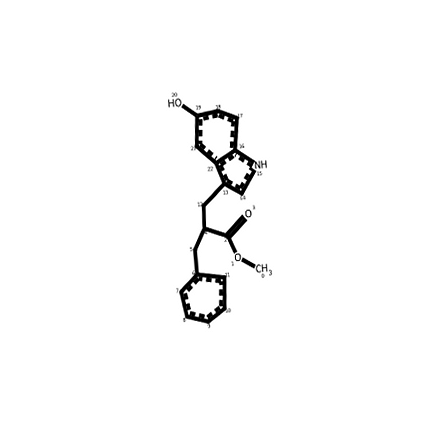 COC(=O)C(Cc1ccccc1)Cc1c[nH]c2ccc(O)cc12